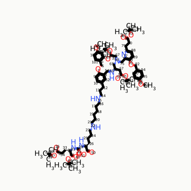 COc1ccc(COc2ccc(CCCNCCCCCCNCCCC[C@H](NC(=O)N[C@@H](CCC(=O)OC(C)(C)C)C(=O)OC(C)(C)C)C(=O)O)cc2CNC(CC(=O)OC(C)(C)C)CN(CC(=O)OC(C)(C)C)Cc2nc(CCC(=O)OC(C)(C)C)ccc2OCc2ccc(OC)cc2)cc1